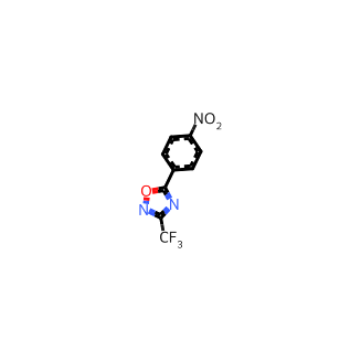 O=[N+]([O-])c1ccc(-c2nc(C(F)(F)F)no2)cc1